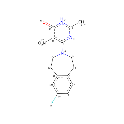 Cc1nc(N2CCc3ccc(F)cc3CC2)c([N+](=O)[O-])c(=O)[nH]1